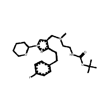 CN(CCNC(=O)OC(C)(C)C)Cc1cn(C2CCCCO2)nc1CCc1ccc(F)cc1